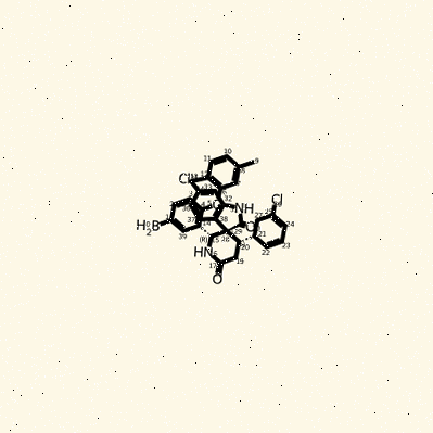 Bc1ccc(Oc2cc(C)ccc2C)c([C@H]2NC(=O)C[C@@H](C3C=CC=C(Cl)C3)[C@]23C(=O)Nc2cc(Cl)ccc23)c1